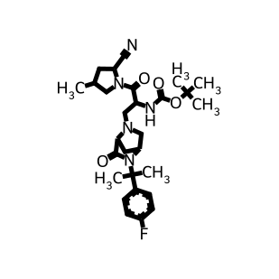 CC1CC(C#N)N(C(=O)C(CN2CC3CC2C(=O)N3C(C)(C)c2ccc(F)cc2)NC(=O)OC(C)(C)C)C1